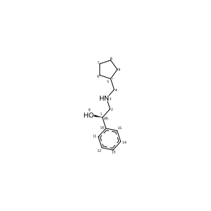 O[C@@H](CNC[C]1CCCC1)c1ccccc1